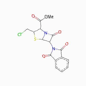 COC(=O)C1C(CCl)SC2C(N3C(=O)c4ccccc4C3=O)C(=O)N21